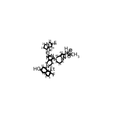 CCc1c(F)ccc2cc(O)cc(N3CCc4c(nc(OC[C@@]56CCCN5C[C@H](F)C6)nc4N4CCCn5nc(NS(C)(=O)=O)cc5C4)C3)c12